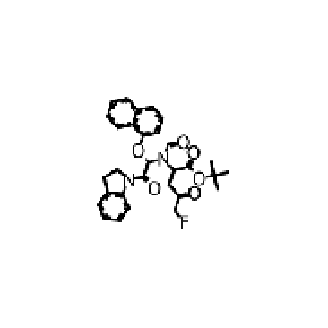 CC(C)(C)OC(=O)C(CC(=O)CF)N(C=O)[C@@H](Oc1cccc2ccccc12)C(=O)N1CCc2ccccc21